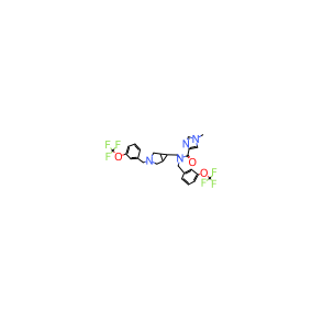 Cn1cnc(C(=O)N(Cc2cccc(OC(F)(F)F)c2)CC2C3CN(Cc4cccc(OC(F)(F)F)c4)CC32)c1